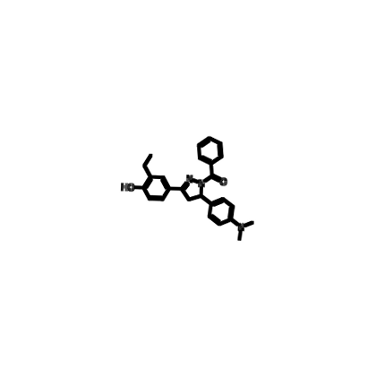 CCc1cc(C2=NN(C(=O)c3ccccc3)C(c3ccc(N(C)C)cc3)C2)ccc1O